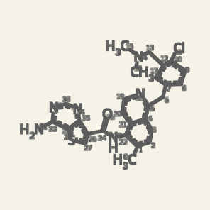 Cc1ccc2c(Cc3ccc(Cl)c(CN(C)C)c3)nccc2c1NC(=O)c1csc2c(N)ncnc12